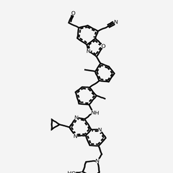 Cc1c(Nc2nc(C3CC3)nc3cc(CN4CC[C@@H](O)C4)cnc23)cccc1-c1cccc(-c2nc3cc(C=O)cc(C#N)c3o2)c1C